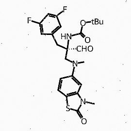 CN(C[C@@](C=O)(Cc1cc(F)cc(F)c1)NC(=O)OC(C)(C)C)c1ccc2sc(=O)n(C)c2c1